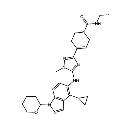 CCNC(=O)N1CC=C(c2nc(Nc3ccc4c(cnn4C4CCCCO4)c3C3CC3)n(C)n2)CC1